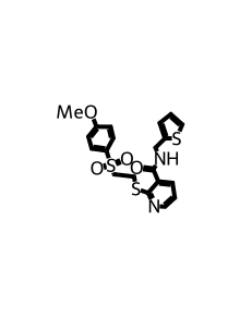 COc1ccc(S(=O)(=O)CCSc2ncccc2C(=O)NCc2cccs2)cc1